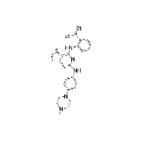 CCP(CC)c1ccccc1Nc1nc(Nc2ccc(N3CCN(C)CC3)cc2)nc2ccsc12